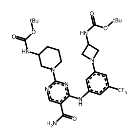 CC(C)(C)OC(=O)NC1CN(c2cc(Nc3nc(N4CCCC(NC(=O)OC(C)(C)C)C4)ncc3C(N)=O)cc(C(F)(F)F)c2)C1